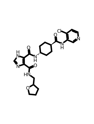 O=C(NCC1CCCO1)c1nc[nH]c1C(=O)N[C@H]1CC[C@H](C(=O)Nc2cnccc2Cl)CC1